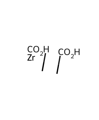 CC(=O)O.CC(=O)O.[Zr]